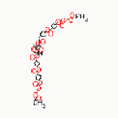 C=CC(=O)OCCOC(=O)Oc1ccc(C(=O)Oc2ccc(CC(=O)O[C@@H]3CO[C@@H]4[C@H]3OC[C@H]4OC(=O)c3ccc(OC(=O)c4ccc(OC(=O)OCCOC(=O)C=C)cc4)cc3)cc2)cc1